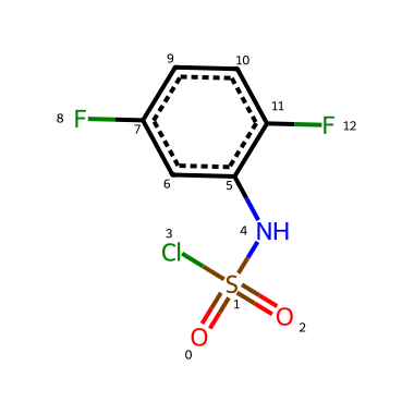 O=S(=O)(Cl)Nc1cc(F)ccc1F